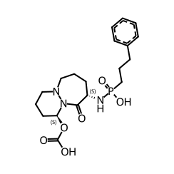 O=C(O)O[C@H]1CCCN2CCC[C@H](NP(=O)(O)CCCc3ccccc3)C(=O)N12